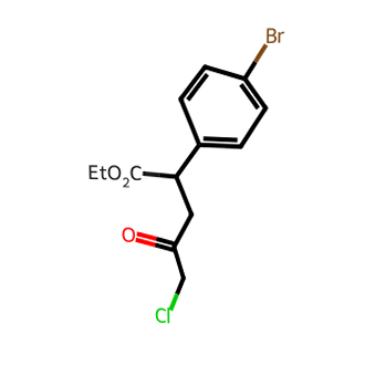 CCOC(=O)C(CC(=O)CCl)c1ccc(Br)cc1